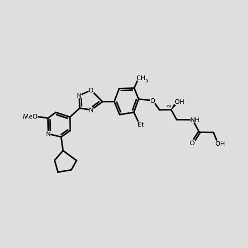 CCc1cc(-c2nc(-c3cc(OC)nc(C4CCCC4)c3)no2)cc(C)c1OC[C@@H](O)CNC(=O)CO